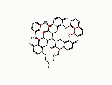 COCCn1ccc(=O)c(OCc2ccccc2)c1CC(C(=O)NO)N(C(Cc1c(OCc2ccccc2)c(=O)ccn1CCOC)C(=O)NO)C(Cc1c(OCc2ccccc2)c(=O)ccn1CCOC)C(=O)NO